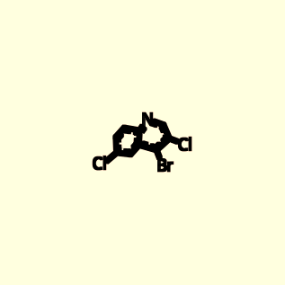 Clc1ccc2ncc(Cl)c(Br)c2c1